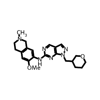 COc1cc2c(cc1Nc1ncc3cnn(CC4CCCOC4)c3n1)CN(C)CC2